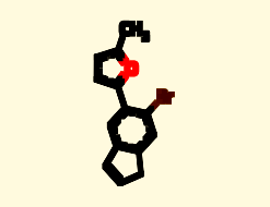 Cc1ccc(-c2cc3c(cc2Br)CC=C3)o1